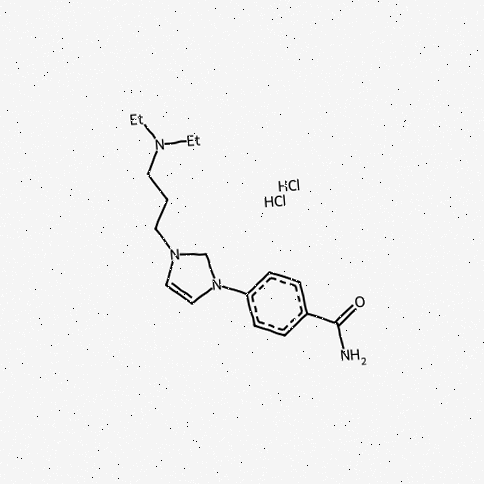 CCN(CC)CCCN1C=CN(c2ccc(C(N)=O)cc2)C1.Cl.Cl